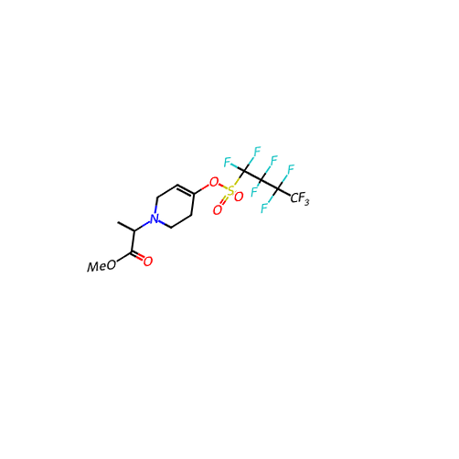 COC(=O)C(C)N1CC=C(OS(=O)(=O)C(F)(F)C(F)(F)C(F)(F)C(F)(F)F)CC1